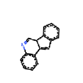 C1=Nc2ccccc2C2=Cc3ccccc3C12